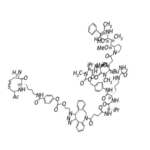 CC[C@H](C)C([C@@H](CC(=O)N1CCCC1[C@H](OC)[C@@H](C)[C@@H](O)N[C@H](C)[C@@H](O)c1ccccc1)OC)N(C)C(=O)C(NC(=O)[C@H](C(C)C)N(C)C(=O)OCc1ccc(NC(=O)[C@H](CCCNC(N)=O)NC(=O)[C@@H](NC(=O)CCC(=O)N2Cc3ccccc3C3C(N=NN3CCOC(=O)Oc3ccc(C(=O)NCCCC[C@@H]4NC(C(C)=O)CSSCC(N)C4=O)cc3)c3ccccc32)C(C)C)cc1)C(C)C